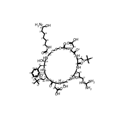 CC(C)(C)SC[C@@H]1NC(=O)[C@H](CC(=O)O)NC(=O)CSC[C@@H](C(=O)NCCCCC[C@H](N)O)N[C@H](O)[C@H](Cc2ccccc2)N[C@@H](O)[C@H](CSC(C)(C)C)NC(=O)[C@H](CC(=O)O)N[C@@H](O)CN[C@H](O)[C@H](CCCNC(N)N)NC1=O